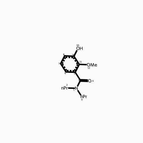 CCCN(CCC)C(=O)c1cccc(O)c1OC